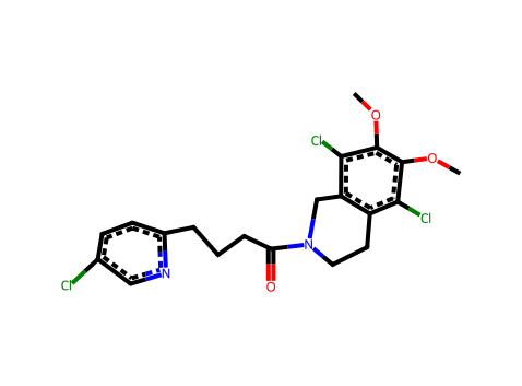 COc1c(Cl)c2c(c(Cl)c1OC)CN(C(=O)CCCc1ccc(Cl)cn1)CC2